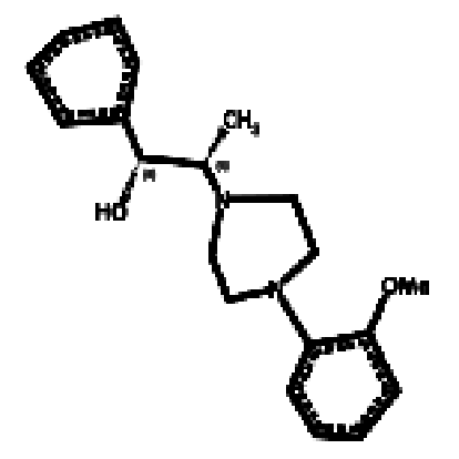 COc1ccccc1N1CCN([C@@H](C)[C@H](O)c2ccccc2)CC1